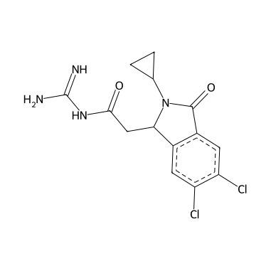 N=C(N)NC(=O)CC1c2cc(Cl)c(Cl)cc2C(=O)N1C1CC1